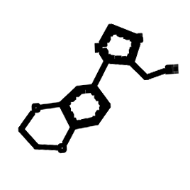 SCc1scnc1-c1ccc2c(c1)OCCO2